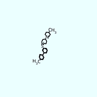 Cc1ccc(-c2cccc(SN3CCC(N4CCC(C)CC4)CC3)c2)cc1